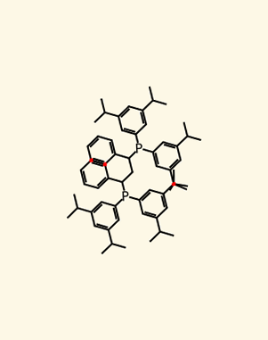 CC(C)c1cc(C(C)C)cc(P(c2cc(C(C)C)cc(C(C)C)c2)C(CC(c2ccccc2)P(c2cc(C(C)C)cc(C(C)C)c2)c2cc(C(C)C)cc(C(C)C)c2)c2ccccc2)c1